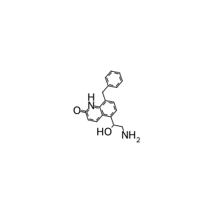 NCC(O)c1ccc(Cc2ccccc2)c2[nH]c(=O)ccc12